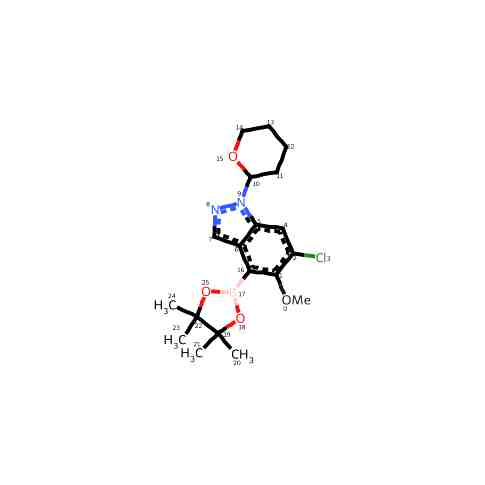 COc1c(Cl)cc2c(cnn2C2CCCCO2)c1B1OC(C)(C)C(C)(C)O1